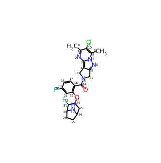 Cc1nc2c3c(nn2c(C)c1Cl)CN(C(=O)c1ccc(F)cc1O[C@H]1CC2CCC(N2)[C@H]1F)C3